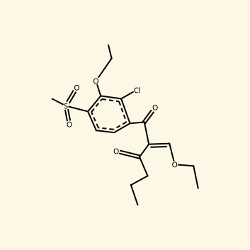 CCCC(=O)C(=COCC)C(=O)c1ccc(S(C)(=O)=O)c(OCC)c1Cl